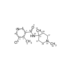 Cc1c(Cl)cncc1C(=O)NC1(C)CCN(C)CC1